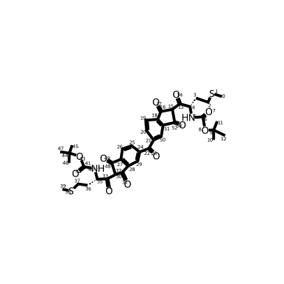 CSCC[C@H](NC(=O)OC(C)(C)C)C(=O)C1C(=O)c2ccc(C(=O)c3ccc4c(c3)C(=O)C(C(=O)[C@H](CCSC)NC(=O)OC(C)(C)C)C4=O)cc2C1=O